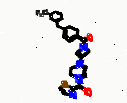 O=C(c1ccc(Cc2cccc(C(F)(F)F)c2)cc1)N1CC(N2CCN(C(=O)c3nccs3)CC2)C1